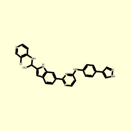 OC(Nc1ccncc1Cl)c1cc2ccc(-c3nccc(Nc4ccc(-c5cn[nH]c5)cc4)n3)cc2[nH]1